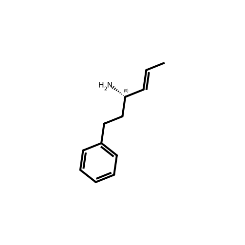 CC=C[C@@H](N)CCc1ccccc1